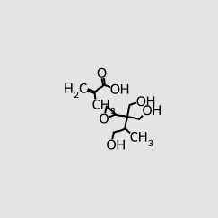 C=C(C)C(=O)O.CC(CO)C(CO)(CO)C1CO1